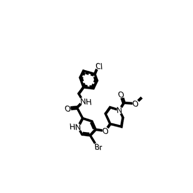 COC(=O)N1CCC(OC2=CC(C(=O)NCc3ccc(Cl)cc3)NC=C2Br)CC1